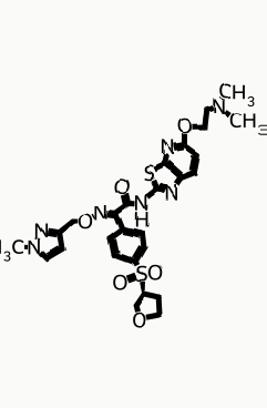 CN(C)CCOc1ccc2nc(NC(=O)/C(=N/OCc3ccn(C)n3)c3ccc(S(=O)(=O)[C@H]4CCOC4)cc3)sc2n1